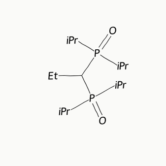 CCC(P(=O)(C(C)C)C(C)C)P(=O)(C(C)C)C(C)C